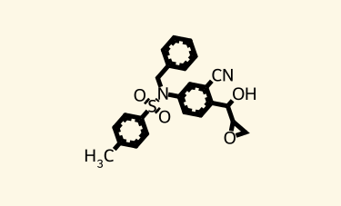 Cc1ccc(S(=O)(=O)N(Cc2ccccc2)c2ccc(C(O)C3CO3)c(C#N)c2)cc1